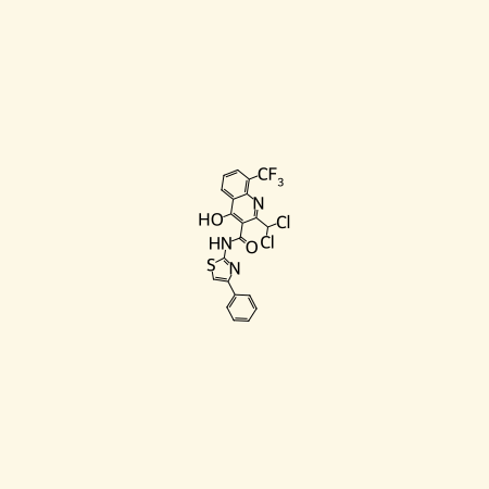 O=C(Nc1nc(-c2ccccc2)cs1)c1c(C(Cl)Cl)nc2c(C(F)(F)F)cccc2c1O